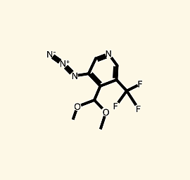 COC(OC)c1c(N=[N+]=[N-])cncc1C(F)(F)F